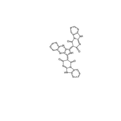 O=C1N=C2Nc3ccccc3N2C(=O)/C1=c1/[nH]/c(=C2/C(=O)N=C3Nc4ccccc4N3C2=O)c2nc3ccccc3nc12